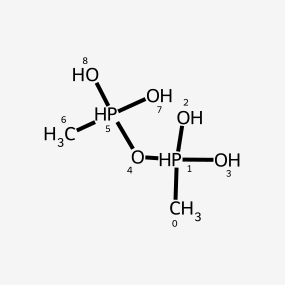 C[PH](O)(O)O[PH](C)(O)O